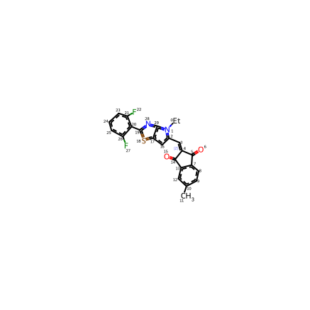 CCn1c(/C=C2/C(=O)c3ccc(C)cc3C2=O)cc2sc(-c3c(F)cccc3F)nc21